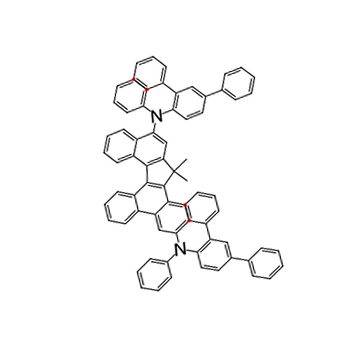 CC1(C)c2cc(N(c3ccccc3)c3ccc(-c4ccccc4)cc3-c3ccccc3)c3ccccc3c2-c2c1c1ccc(N(c3ccccc3)c3ccc(-c4ccccc4)cc3-c3ccccc3)cc1c1ccccc21